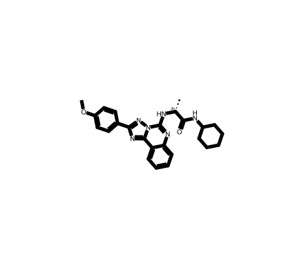 COc1ccc(-c2nc3c4ccccc4nc(N[C@H](C)C(=O)NC4CCCCC4)n3n2)cc1